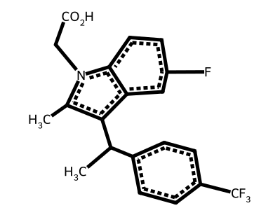 Cc1c(C(C)c2ccc(C(F)(F)F)cc2)c2cc(F)ccc2n1CC(=O)O